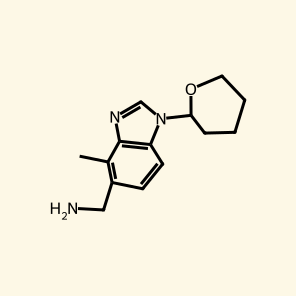 Cc1c(CN)ccc2c1ncn2C1CCCCO1